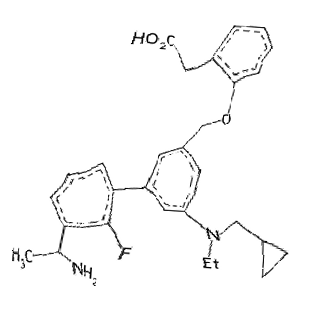 CCN(CC1CC1)c1cc(COc2ccccc2CC(=O)O)cc(-c2cccc(C(C)N)c2F)c1